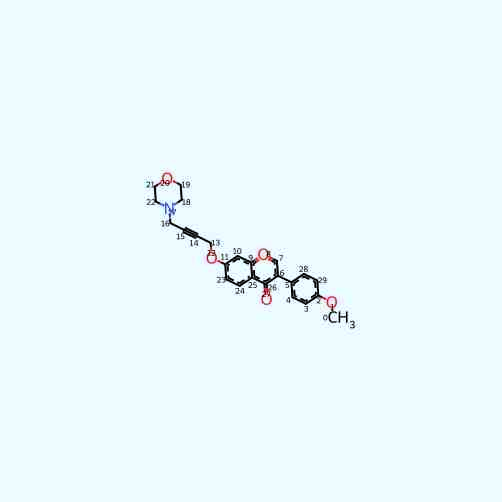 COc1ccc(-c2coc3cc(OCC#CCN4CCOCC4)ccc3c2=O)cc1